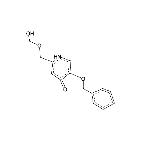 O=c1cc(COCO)[nH]cc1OCc1ccccc1